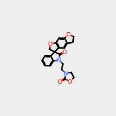 O=C1OCCN1CCN1C(=O)C2(COc3cc4c(cc32)CCO4)c2ccccc21